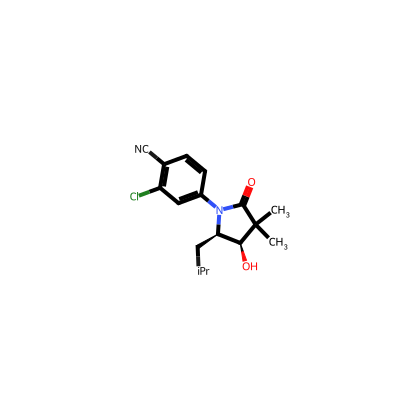 CC(C)C[C@@H]1[C@H](O)C(C)(C)C(=O)N1c1ccc(C#N)c(Cl)c1